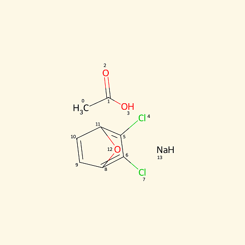 CC(=O)O.Clc1c(Cl)c2ccc1o2.[NaH]